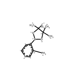 CC1(C)OB(c2ccncc2P)OC1(C)C